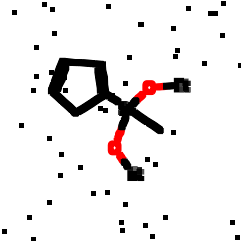 CCO[Si](C)(OCC)C1=CC=CC1